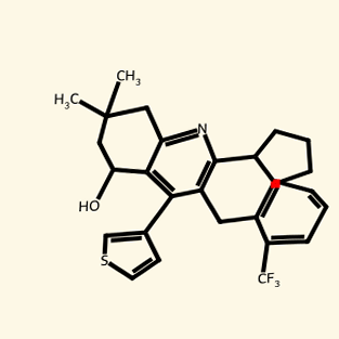 CC1(C)Cc2nc(C3CCCC3)c(Cc3ccccc3C(F)(F)F)c(-c3ccsc3)c2C(O)C1